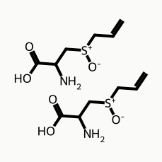 C=CC[S+]([O-])CC(N)C(=O)O.C=CC[S+]([O-])CC(N)C(=O)O